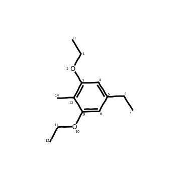 CCOc1cc(CC)cc(OCC)c1C